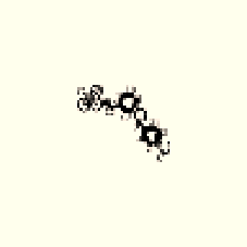 COc1ccc(COc2cccc(CCOS(C)(=O)=O)c2)cc1